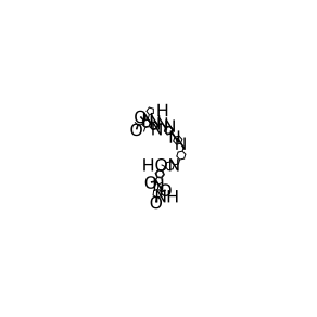 CC(=O)c1c(C)c2cnc(Nc3ccc(N4CCN(CC5CCC(CN6CCC(O)(c7ccc8c(c7)CN(C7CCC(=O)NC7=O)C8=O)CC6)CC5)CC4)cn3)nc2n(C2CCCC2)c1=O